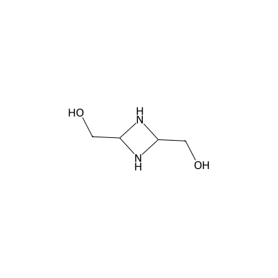 OCC1NC(CO)N1